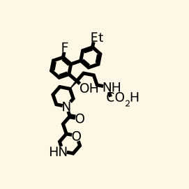 CCc1cccc(-c2c(F)cccc2C(O)(CCCNC(=O)O)[C@@H]2CCCN(C(=O)CC3CNCCO3)C2)c1